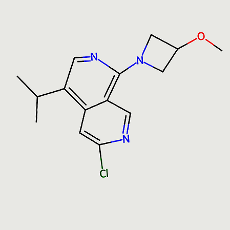 COC1CN(c2ncc(C(C)C)c3cc(Cl)ncc23)C1